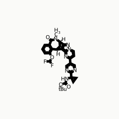 CN1C(=O)c2cccc(OC(F)F)c2[C@H]2C[C@@H]1c1nn3ccc(-c4cnc(C5(NC(=O)OC(C)(C)C)CC5)nc4)nc3c12